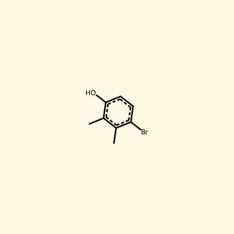 Cc1c(O)ccc(Br)c1C